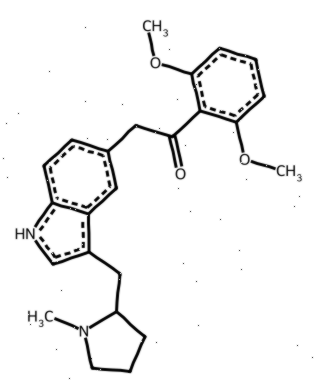 COc1cccc(OC)c1C(=O)Cc1ccc2[nH]cc(CC3CCCN3C)c2c1